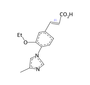 CCOc1cc(/C=C/C(=O)O)ccc1-n1cnc(C)c1